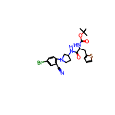 CC(C)(C)OC(=O)N[C@@H](Cc1cccs1)C(=O)N[C@H]1CCN(c2ccc(Br)cc2C#N)C1